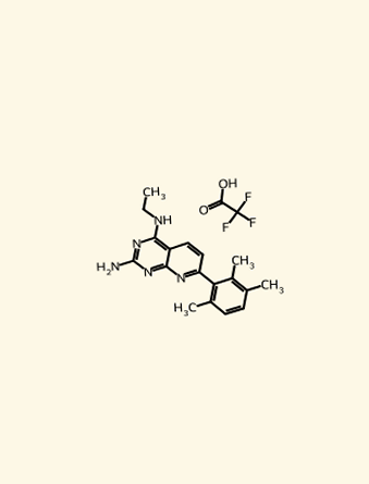 CCNc1nc(N)nc2nc(-c3c(C)ccc(C)c3C)ccc12.O=C(O)C(F)(F)F